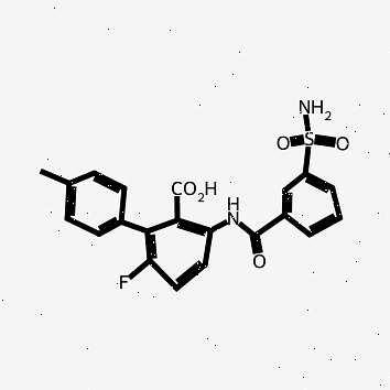 Cc1ccc(-c2c(F)ccc(NC(=O)c3cccc(S(N)(=O)=O)c3)c2C(=O)O)cc1